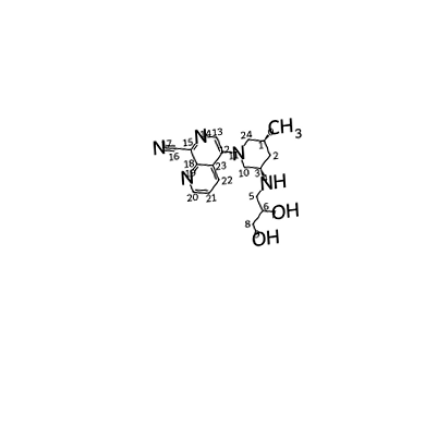 C[C@H]1C[C@@H](NCC(O)CO)CN(c2cnc(C#N)c3ncccc23)C1